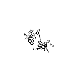 Cc1ncsc1-c1ccc([C@H](C)NC(=O)[C@@H]2C[C@@H](O)CN2C(=O)[C@@H](NC(=O)CCCCCc2cc(Cl)cc(OC[C@H](CCC(N)=O)NC(=O)[C@@H]3Cc4cccc5c4N3C(=O)[C@@H](NC(=O)OC(C)(C)C)CC5)c2)C(C)(C)C)cc1